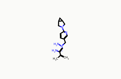 C=C(C)/C(N)=C/N(N)Cc1ccc(N2CC3CC3C2)nc1